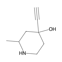 C#CC1(O)CCNC(C)C1